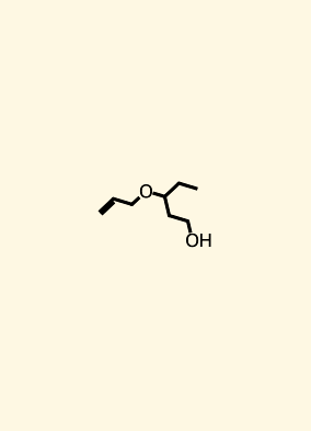 C=CCOC(CC)CCO